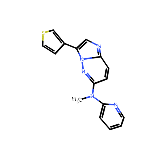 CN(c1ccccn1)c1ccc2ncc(-c3ccsc3)n2n1